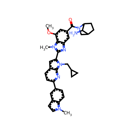 COc1cc(C(=O)N2CC3CCC2C3N)cc2nc(-c3cc4ccc(-c5ccc6c(ccn6C)c5)nc4n3CC3CC3)n(C)c12